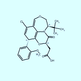 COc1ccccc1[C@@H]1C=C(Cl)C2=COC[C@@H](C(C)(C)C)N3C(=O)[C@@H](CC(=O)O)OC1=C23